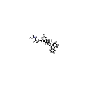 CC/C(C)=C\C(C)OCCCC(=O)C(CC(C)C)NC(=O)OCC1c2ccccc2-c2ccccc21